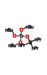 CCCC[O][Ti]([O]CCCC)([O]CCCC)[O][Si](CCC)(CCC)CCC